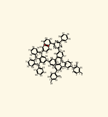 Cc1ccc(-c2ccc3c(c2)c2cc(-c4ccc(C)cc4C)ccc2n3-c2ccc(-c3nc(-c4ccccc4)nc(-c4ccccc4)n3)cc2-c2cccc(-c3cc4c5c(c3)N(c3ccccc3)c3ccccc3B5c3ccccc3N4c3ccccc3)c2)c(C)c1